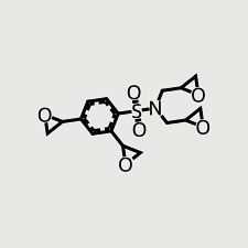 O=S(=O)(c1ccc(C2CO2)cc1C1CO1)N(CC1CO1)CC1CO1